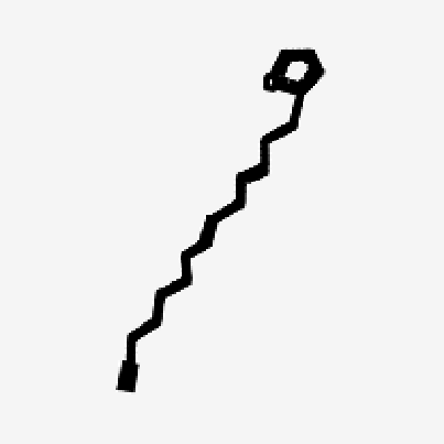 C#CCCCCCC=CCC=CCCc1ccco1